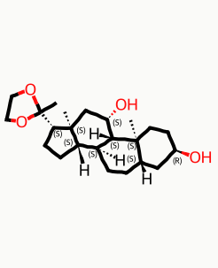 CC1([C@H]2CC[C@H]3[C@@H]4CC[C@H]5C[C@H](O)CC[C@]5(C)[C@H]4[C@@H](O)C[C@]23C)OCCO1